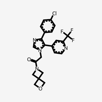 O=C(Cn1cnc(-c2ccc(Cl)cc2)c1-c1ccnc(C(F)(F)F)c1)N1CC2(COC2)C1